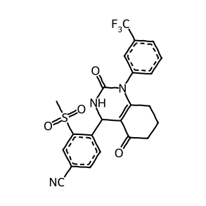 CS(=O)(=O)c1cc(C#N)ccc1C1NC(=O)N(c2cccc(C(F)(F)F)c2)C2=C1C(=O)CCC2